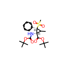 CC1[C@](c2ccccc2)(S(C)(=O)=O)[C@]1(NC(=O)OC(C)(C)C)C(=O)OC(C)(C)C